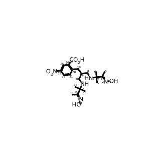 CC(=NO)C(C)(C)NCC(CNC(C)(C)C(C)=NO)Cc1ccc([N+](=O)[O-])cc1C(=O)O